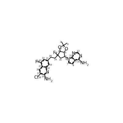 CC1(C)OC2C(n3ccc4c(N)ncnc43)CC(F)(CCc3cc(F)c4cc(Cl)c(N)nc4c3)C2O1